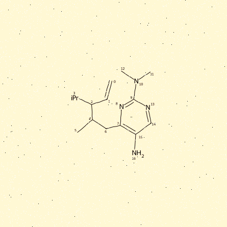 C=CC(C(C)C)C(C)Cc1nc(N(C)C)ncc1N